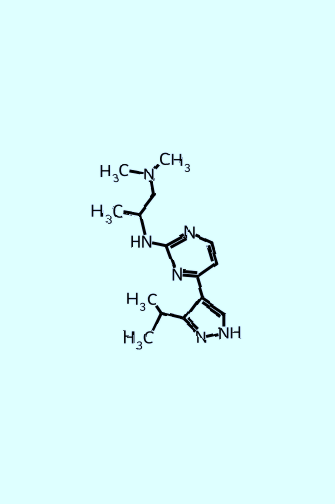 CC(CN(C)C)Nc1nccc(-c2c[nH]nc2C(C)C)n1